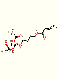 CC=CC(=O)OCCCCO[SiH](OC(C)=O)OC(C)=O